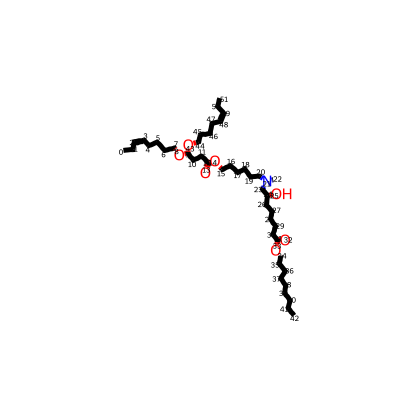 CC/C=C\CCCCOC(CCC(=O)OCCCCCCN(C)CC(O)CCCCCC(=O)OCCCCCCCCC)OCCCC/C=C\CC